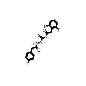 O=C(Cc1ccc(F)cc1)NNC(=S)NC(=O)Cc1c(F)cccc1F